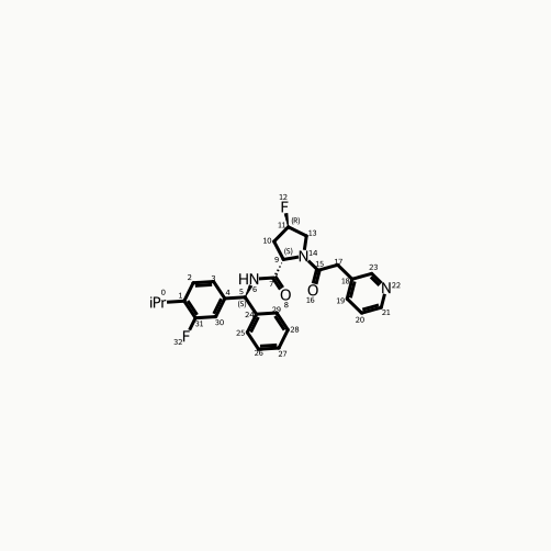 CC(C)c1ccc([C@@H](NC(=O)[C@@H]2C[C@@H](F)CN2C(=O)Cc2cccnc2)c2ccccc2)cc1F